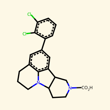 O=C(O)N1CCC2C(C1)c1cc(-c3cccc(Cl)c3Cl)cc3c1N2CCC3